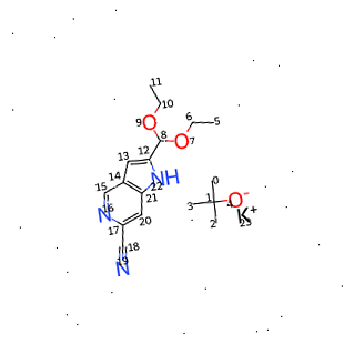 CC(C)(C)[O-].CCOC(OCC)c1cc2cnc(C#N)cc2[nH]1.[K+]